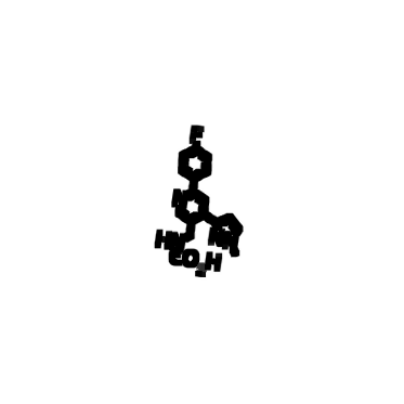 Cn1ccc(-c2cc(-c3ccc(F)cc3)ncc2CNC(=O)O)n1